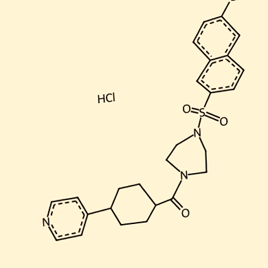 Cl.O=C(C1CCC(c2ccncc2)CC1)N1CCN(S(=O)(=O)c2ccc3cc(Cl)ccc3c2)CC1